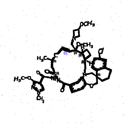 COc1nn(C)cc1C(=O)N[S@@]1(=O)=NC(=O)c2ccc3c(c2)N(C[C@@H]2CC[C@H]2[C@@](CN2CC(OC)C2)(OC)/C=C/C[C@H](C)C1)C[C@@]1(CCCc2cc(Cl)ccc21)CO3